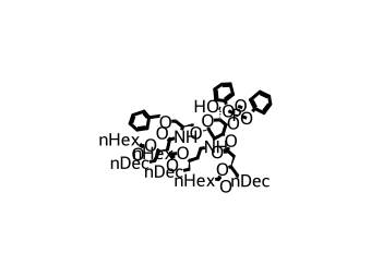 CCCCCCCCCCC[C@H](CCN[C@H]1[C@H](OC[C@H](COCc2ccccc2)NC(=O)C[C@@H](CCCCCCCCCCC)OC(=O)CCCCCC)O[C@H](CO)[C@@H](OP(=O)(Oc2ccccc2)Oc2ccccc2)[C@@H]1OC(=O)C[C@@H](CCCCCCCCCCC)OC(=O)CCCCCC)OC(=O)CCCCCC